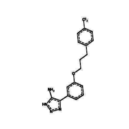 Nc1[nH]nnc1-c1cccc(OCCCc2ccc(C(F)(F)F)cc2)c1